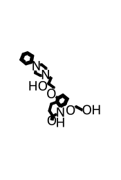 O=C1CCc2c(OCC(O)CN3CCN(c4ccccc4)CC3)ccc(OCCO)c2N1